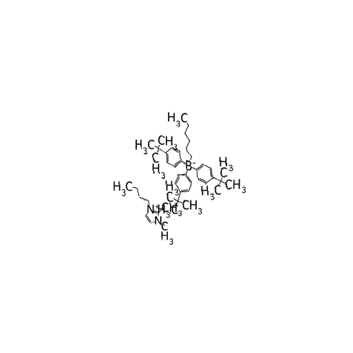 CCCCCC[B-](c1ccc(C(C)(C)C)cc1)(c1ccc(C(C)(C)C)cc1)c1ccc(C(C)(C)C)cc1.CCCC[n+]1ccn(C)c1C